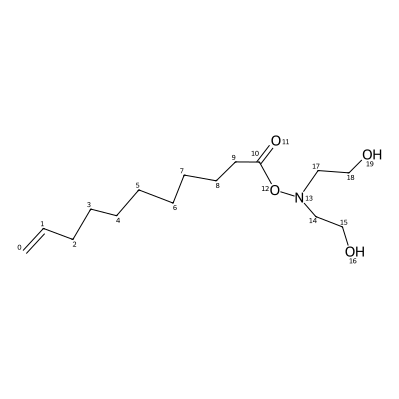 C=CCCCCCCCCC(=O)ON(CCO)CCO